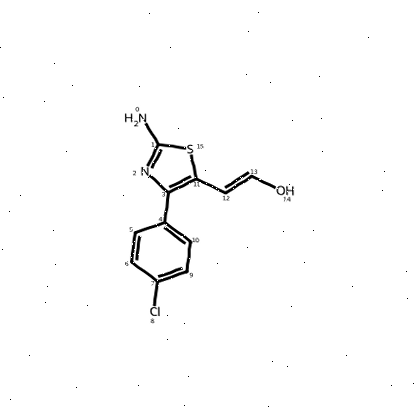 Nc1nc(-c2ccc(Cl)cc2)c(C=CO)s1